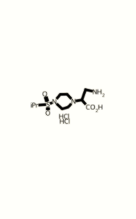 CC(C)S(=O)(=O)N1CCN(C(CN)C(=O)O)CC1.Cl.Cl